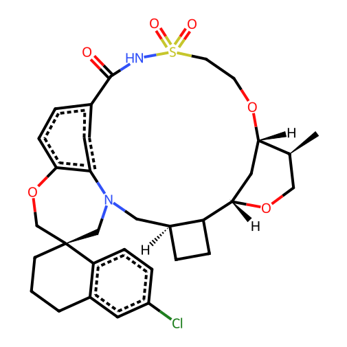 C[C@H]1CO[C@H]2C[C@@H]1OCCS(=O)(=O)NC(=O)c1ccc3c(c1)N(C[C@@H]1CCC12)C[C@@]1(CCCc2cc(Cl)ccc21)CO3